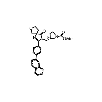 COC(=O)N1CC[C@@H](CN2C(=O)C3(CCOC3)N=C2c2ccc(-c3ccc4cccnc4c3)cc2)C1